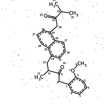 COc1ccccc1CC(=O)C(C)Cc1cccc2c(CC(=O)C(C)C)cccc12